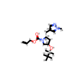 C=CCOC(=O)N1C[C@H](O[Si](C)(C)C(C)(C)C)C[C@H]1Cc1cnn(C)c1